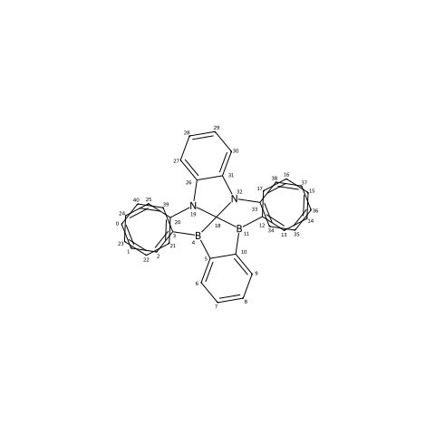 c1ccc(B2c3ccccc3B(c3ccccc3)C23N(c2ccccc2)c2ccccc2N3c2ccccc2)cc1